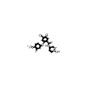 O=C(Nc1cc[n+](O)nc1)c1cc(Cl)c(Cl)cc1Oc1ccc(OC(F)(F)F)c(F)c1